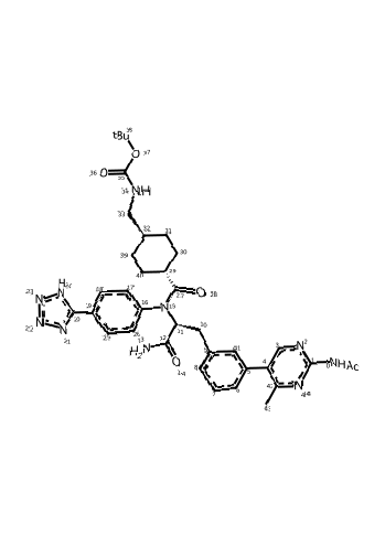 CC(=O)Nc1ncc(-c2cccc(C[C@@H](C(N)=O)N(c3ccc(-c4nnn[nH]4)cc3)C(=O)[C@H]3CC[C@H](CNC(=O)OC(C)(C)C)CC3)c2)c(C)n1